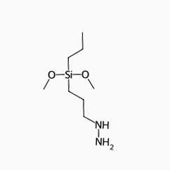 CCC[Si](CCCNN)(OC)OC